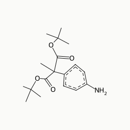 CC(C)(C)OC(=O)C(C)(C(=O)OC(C)(C)C)c1ccc(N)cc1